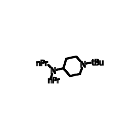 CCCN(CCC)C1CCN(C(C)(C)C)CC1